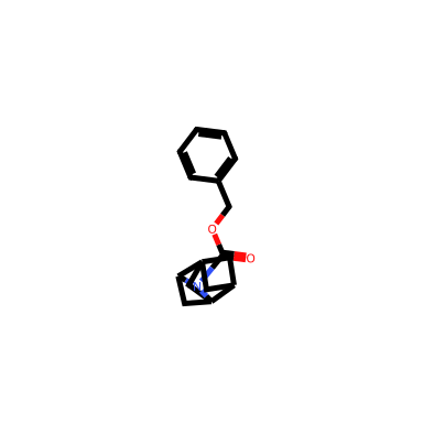 O=C(OCc1ccccc1)N1C2CC13CC21CC3C1